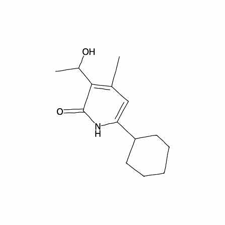 Cc1cc(C2CCCCC2)[nH]c(=O)c1C(C)O